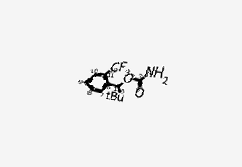 CC(C)(C)C(OC(N)=O)c1ccccc1C(F)(F)F